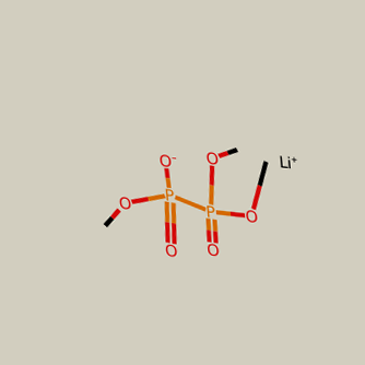 COP(=O)([O-])P(=O)(OC)OC.[Li+]